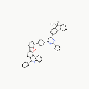 CC1(C)c2ccccc2-c2cc(-c3cc(-c4ccc(-c5cccc6c5oc5c6ccc6c(-c7ccccc7)nc7ccccc7c65)cc4)nc(-c4ccccc4)n3)ccc21